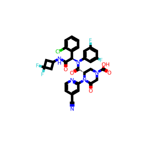 N#Cc1ccnc(N2C(=O)CN(C(=O)O)C[C@H]2C(=O)N(c2cc(F)cc(F)c2)[C@@H](C(=O)NC2CC(F)(F)C2)c2ccccc2Cl)c1